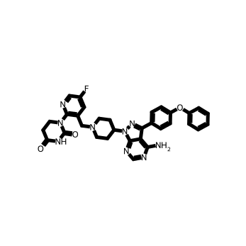 Nc1ncnc2c1c(-c1ccc(Oc3ccccc3)cc1)nn2C1CCN(Cc2cc(F)cnc2N2CCC(=O)NC2=O)CC1